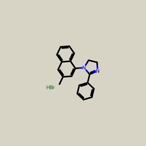 Br.Cc1cc(N2CCN=C2c2ccccc2)c2ccccc2c1